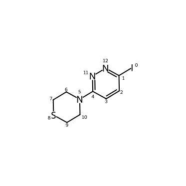 Ic1ccc(N2CCSCC2)nn1